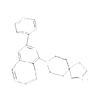 c1cc(-c2cc3cnccc3c(N3CCC4(CCNC4)CC3)n2)ccn1